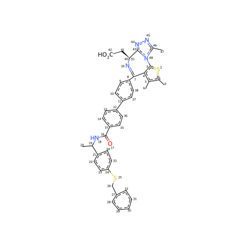 Cc1sc2c(c1C)C(c1ccc(-c3ccc(C(=O)NC(C)c4ccc(SCc5ccccc5)cc4)cc3)cc1)=N[C@@H](CC(=O)O)c1nnc(C)n1-2